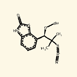 CC(C)(C)O[C@H](c1cccc2[nH]c(=O)sc12)C(C)(C)N=[N+]=[N-]